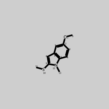 COc1ccc2c(c1)cc(SC)n2C